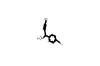 NC(C#CCl)c1ccc(F)cc1